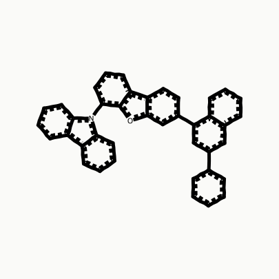 c1ccc(-c2cc(-c3ccc4c(c3)oc3c(-n5c6ccccc6c6ccccc65)cccc34)c3ccccc3c2)cc1